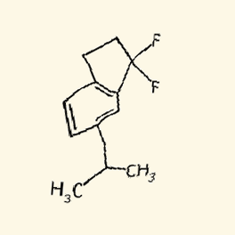 CC(C)c1ccc2c(c1)C(F)(F)CC2